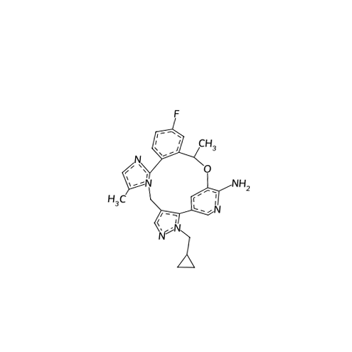 Cc1cnc2n1Cc1cnn(CC3CC3)c1-c1cnc(N)c(c1)OC(C)c1cc(F)ccc1-2